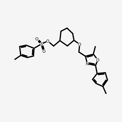 Cc1ccc(-c2nc(COC3CCCC(COS(=O)(=O)c4ccc(C)cc4)C3)c(C)o2)cc1